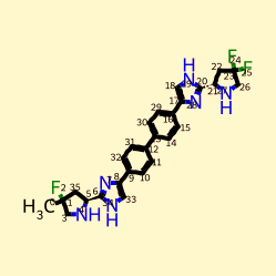 CC1(F)CN[C@H](c2nc(-c3ccc(-c4ccc(-c5c[nH]c([C@@H]6CC(F)(F)CN6)n5)cc4)cc3)c[nH]2)C1